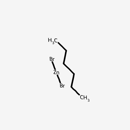 CCCCCC.[Br][Zn][Br]